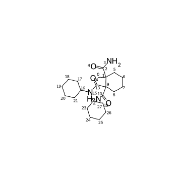 CC1(C(N)=O)CCCCC1(C(N)=O)C(=O)N(C1CCCCC1)C1CCCCC1